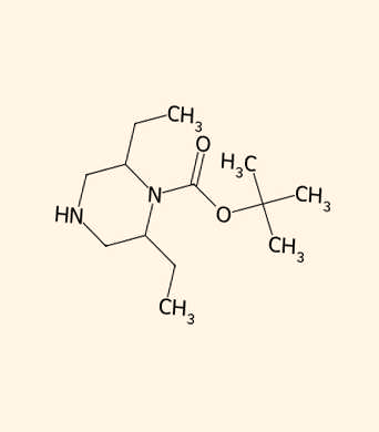 CCC1CNCC(CC)N1C(=O)OC(C)(C)C